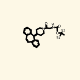 CCC(C)(CC)OC(=O)NCC(=O)N1CCC(=C2c3ccccc3C=Cc3ccccc32)CC1